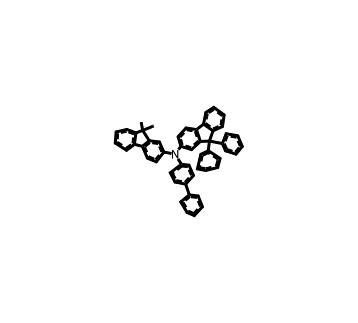 CC1(C)c2ccccc2-c2ccc(N(c3ccc(-c4ccccc4)cc3)c3ccc4c(c3)C(c3ccccc3)(c3ccccc3)c3ccccc3-4)cc21